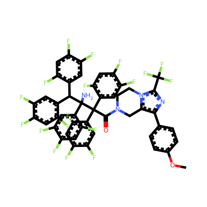 COc1ccc(-c2nc(C(F)(F)F)n3c2CN(C(=O)C(c2cc(F)c(F)cc2F)(c2cc(F)c(F)cc2F)C(N)(c2cc(F)c(F)cc2F)C(c2cc(F)c(F)cc2F)c2cc(F)c(F)cc2F)CC3)cc1